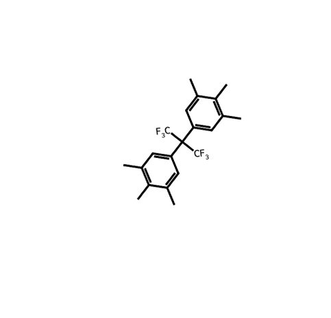 Cc1cc(C(c2cc(C)c(C)c(C)c2)(C(F)(F)F)C(F)(F)F)cc(C)c1C